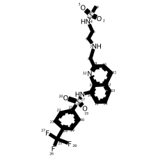 CS(=O)(=O)NCCNCc1ccc2cccc(NS(=O)(=O)c3ccc(C(F)(F)F)cc3)c2n1